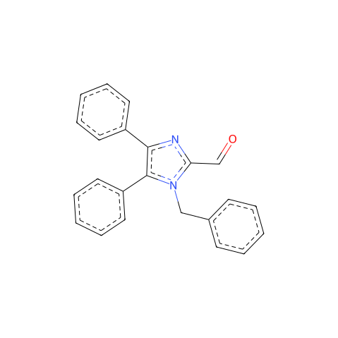 O=Cc1nc(-c2ccccc2)c(-c2ccccc2)n1Cc1ccccc1